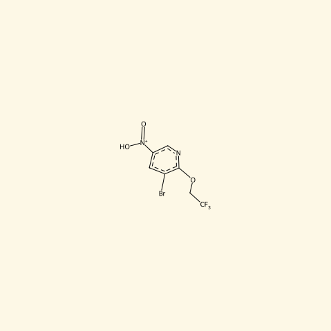 O=[N+](O)c1cnc(OCC(F)(F)F)c(Br)c1